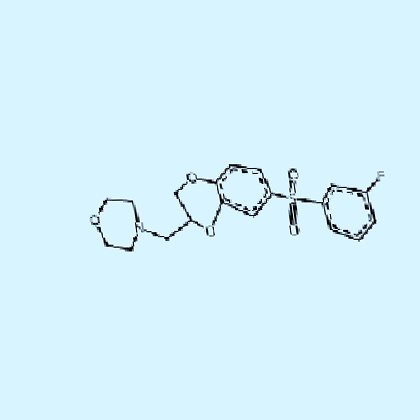 O=S(=O)(c1cccc(F)c1)c1ccc2c(c1)OC(CN1CCOCC1)CO2